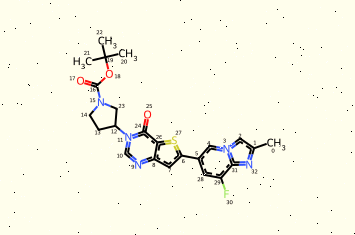 Cc1cn2cc(-c3cc4ncn(C5CCN(C(=O)OC(C)(C)C)C5)c(=O)c4s3)cc(F)c2n1